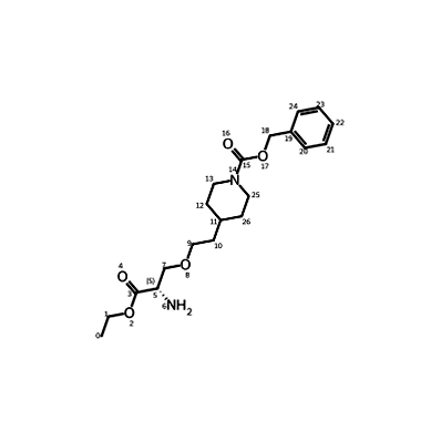 CCOC(=O)[C@@H](N)COCCC1CCN(C(=O)OCc2ccccc2)CC1